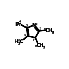 CC1=NC(C(C)C)=C(C)C1C